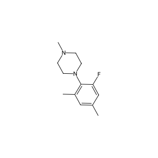 Cc1cc(C)c(N2CCN(C)CC2)c(F)c1